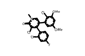 COc1cc(OC)c(Cl)c(-c2cn(C)c(=O)c(Cl)c2-c2ccc(F)cc2Cl)c1